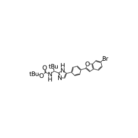 CC(C)(C)OC(=O)N[C@H](c1ncc(-c2ccc(-c3cc4ccc(Br)cc4o3)cc2)[nH]1)C(C)(C)C